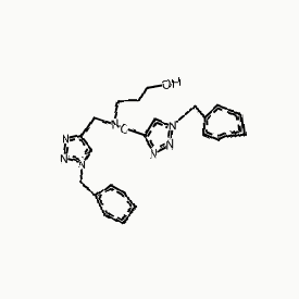 OCCCN(Cc1cn(Cc2ccccc2)nn1)Cc1cn(Cc2ccccc2)nn1